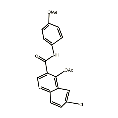 COc1ccc(NC(=O)c2cnc3ccc(Cl)cc3c2OC(C)=O)cc1